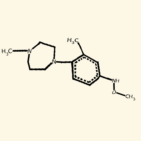 CONc1ccc(N2CCN(C)CC2)c(C)c1